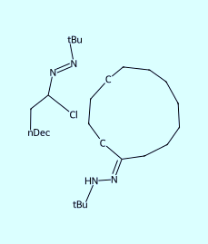 CC(C)(C)NN=C1CCCCCCCCCCC1.CCCCCCCCCCCC(Cl)/N=N/C(C)(C)C